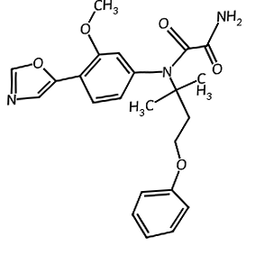 COc1cc(N(C(=O)C(N)=O)C(C)(C)CCOc2ccccc2)ccc1-c1cnco1